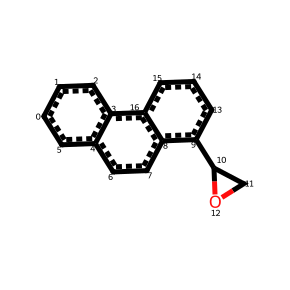 c1ccc2c(c1)ccc1c(C3CO3)cccc12